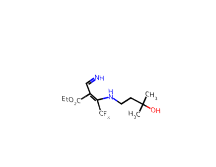 CCOC(=O)/C(C=N)=C(/NCCC(C)(C)O)C(F)(F)F